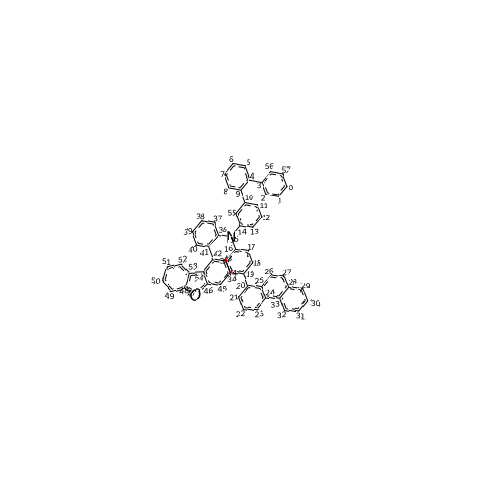 c1ccc(-c2ccccc2-c2cccc(N(c3ccc(-c4cccc5c4ccc4ccccc45)cc3)c3ccccc3-c3cccc4oc5ccccc5c34)c2)cc1